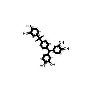 CC(C)(c1ccc(C(c2ccc(O)c(O)c2)c2ccc(O)c(O)c2)cc1)c1ccc(O)c(O)c1